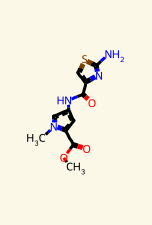 COC(=O)c1cc(NC(=O)c2csc(N)n2)cn1C